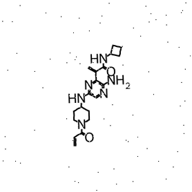 C=CC(=O)N1CCC(Nc2cnc(N)c(C(=C)C(=O)NC3CCC3)n2)CC1